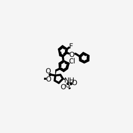 COC(=O)[C@@]1(Cc2ccc(Cl)c(-c3cccc(F)c3OCc3ccccc3)c2)CC[C@H](NS(C)(=O)=O)C1